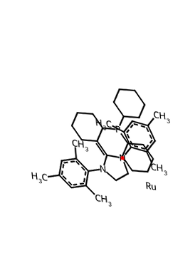 Cc1cc(C)c(N2CCN(c3c(C)cc(C)cc3C)C2=C2CCCCC2P(C2CCCCC2)C2CCCCC2)c(C)c1.[Ru]